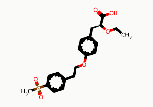 CCO[C@@H](Cc1ccc(OCCc2ccc(S(C)(=O)=O)cc2)cc1)C(=O)O